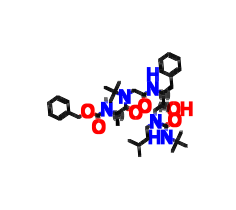 CC(C)CCN(C[C@@H](O)[C@H](Cc1ccccc1)NC(=O)CN(C(=O)[C@@H](C)N(C)C(=O)OCc1ccccc1)C(C)(C)C)C(=O)NC(C)(C)C